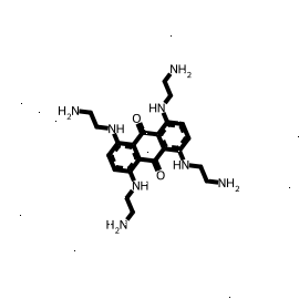 NCCNc1ccc(NCCN)c2c1C(=O)c1c(NCCN)ccc(NCCN)c1C2=O